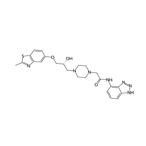 Cc1nc2cc(OC[C@H](O)CN3CCN(CC(=O)Nc4cccc5[nH]nnc45)CC3)ccc2s1